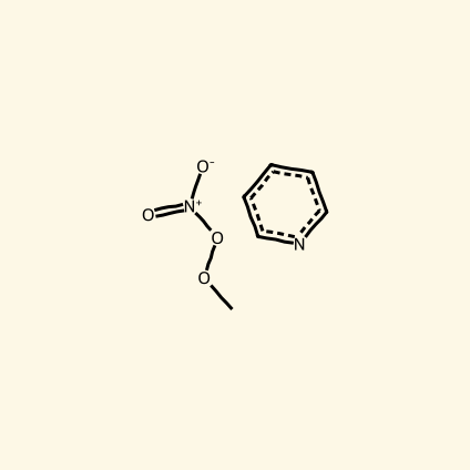 COO[N+](=O)[O-].c1ccncc1